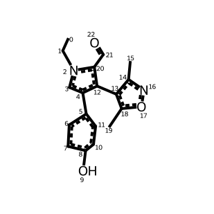 CCn1cc(-c2ccc(O)cc2)c(-c2c(C)noc2C)c1C=O